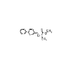 COC(=O)C(C)OCc1ccc(-c2ccccc2)cc1